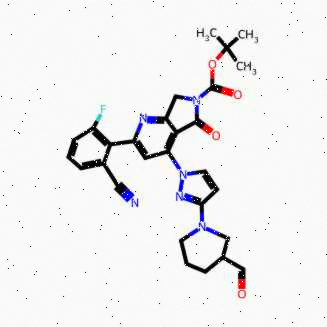 CC(C)(C)OC(=O)N1Cc2nc(-c3c(F)cccc3C#N)cc(-n3ccc(N4CCCC(C=O)C4)n3)c2C1=O